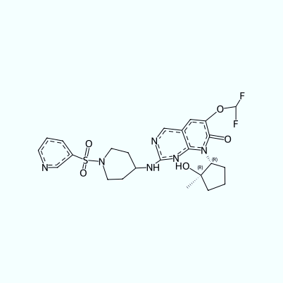 C[C@@]1(O)CCC[C@H]1n1c(=O)c(OC(F)F)cc2cnc(NC3CCN(S(=O)(=O)c4cccnc4)CC3)nc21